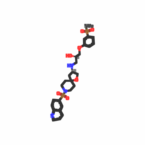 CNS(=O)(=O)c1cccc(OC[C@@H](O)CN[C@@H]2COC3(CCN(S(=O)(=O)c4ccc5ncccc5c4)CC3)C2)c1